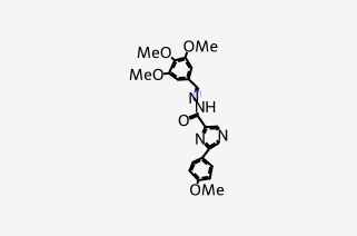 COc1ccc(-c2cncc(C(=O)N/N=C/c3cc(OC)c(OC)c(OC)c3)n2)cc1